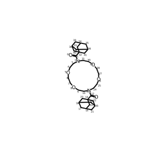 O=C(N1CCOCCOCCN(C(=O)C23CC4CC(CC(C4)C2)C3)CCOCCOCC1)C12CC3CC(CC(C3)C1)C2